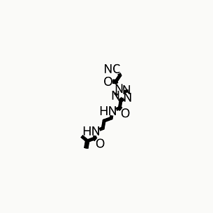 C=C(C)C(=O)NCCCNC(=O)c1nnn(C(=O)CC#N)n1